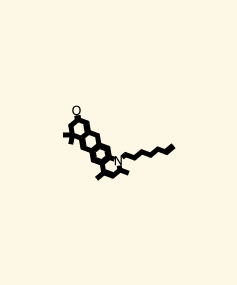 C=CCCCCCN1c2cc3c(cc2C(C)=CC1C)C=C1C(=CC(=O)CC1(C)C)C3